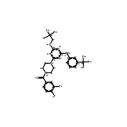 O=C(c1ccc(F)c(F)c1)N1CCN(c2nc(Nc3cccc(C(F)(F)F)c3)nc(OCC(F)(F)F)n2)CC1